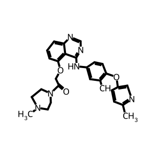 Cc1ccc(Oc2ccc(Nc3ncnc4cccc(OCC(=O)N5CCN(C)CC5)c34)cc2C)cn1